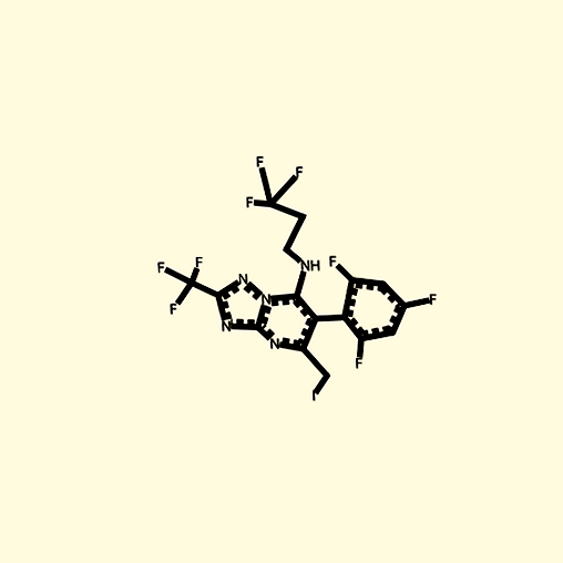 Fc1cc(F)c(-c2c(CI)nc3nc(C(F)(F)F)nn3c2NCCC(F)(F)F)c(F)c1